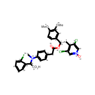 COc1ccc([C@H](Cc2c(Cl)c[n+]([O-])cc2Cl)OC(=O)Cc2ccc(N(C)C(C(=O)O)c3ccccc3F)cc2)cc1OC